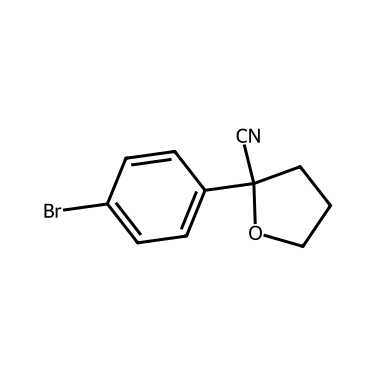 N#CC1(c2ccc(Br)cc2)CCCO1